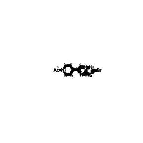 CC(=O)N1CCC(c2cn3nc(Br)sc3n2)CC1